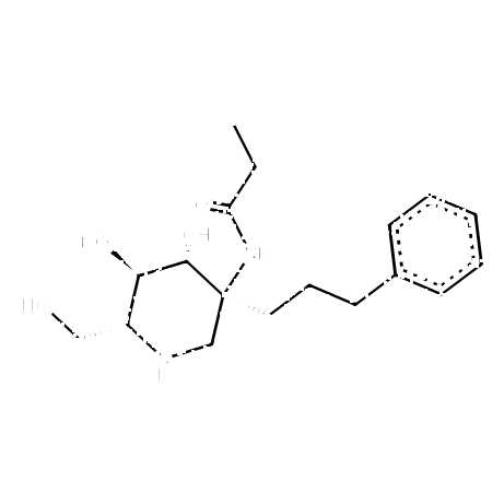 CCC(=O)N[C@@]1(CCCc2ccccc2)CN[C@H](CO)[C@@H](O)[C@@H]1O